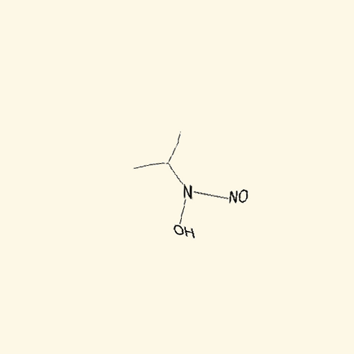 CC(C)N(O)N=O